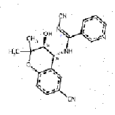 CC1(C)Oc2ccc(C#N)cc2[C@@H](N/C(=N/C#N)c2cccnc2)[C@@H]1O